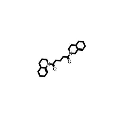 O=C(CCCC(=O)N1CCCC2CCCC=C21)N1CCC2CCCC=C2C1